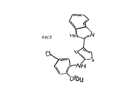 CC(C)COc1ccc(Cl)cc1Nc1nc(-c2nc3ccccc3[nH]2)cs1.Cl